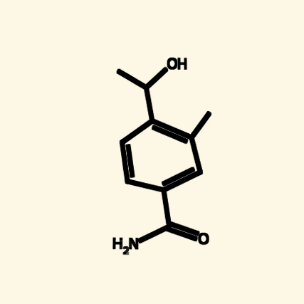 Cc1cc(C(N)=O)ccc1C(C)O